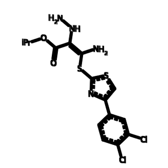 CC(C)OC(=O)/C(NN)=C(/N)Sc1nc(-c2ccc(Cl)c(Cl)c2)cs1